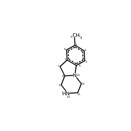 Cc1ccc2c(c1)CC1CNCCN21